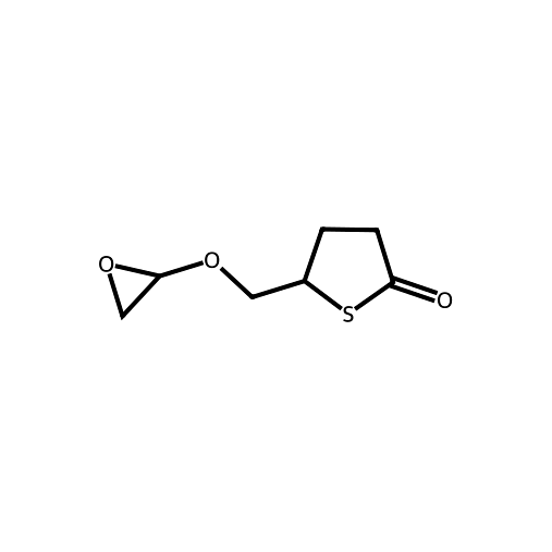 O=C1CCC(COC2CO2)S1